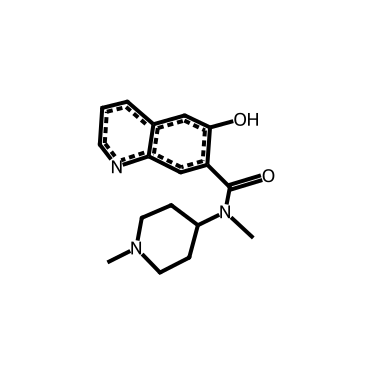 CN1CCC(N(C)C(=O)c2cc3ncccc3cc2O)CC1